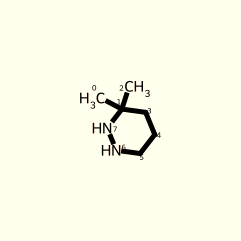 CC1(C)CCCNN1